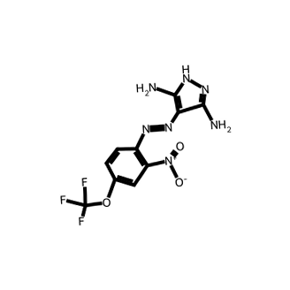 Nc1n[nH]c(N)c1N=Nc1ccc(OC(F)(F)F)cc1[N+](=O)[O-]